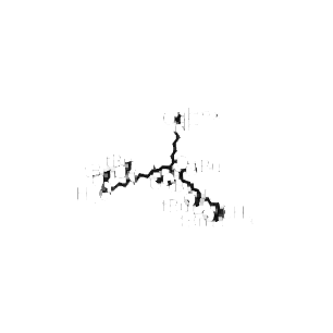 CCCCCCC(=O)NCCCCCCC(CN(CCCCN(CCCN(C)C(=O)OC(C)(C)C)C(=O)OC(C)(C)C)C(=O)OC(C)(C)C)CN(CCCCN(CCCN(C)C(=O)OC(C)(C)C)C(=O)OC(C)(C)C)C(=O)OC(C)(C)C